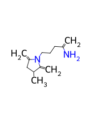 C=C(N)CCCN1C(=C)CC(C)C1=C